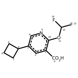 O=C(O)c1cc(C2CCC2)cnc1OC(F)F